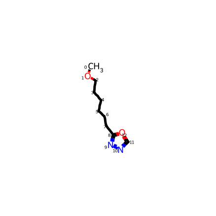 COCCCCCCc1nnco1